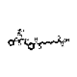 CC(C)(C)OC[C@H](NCc1cccc(NC(=O)CCCCCCC(=O)NO)c1)C(=O)OC1CCCC1